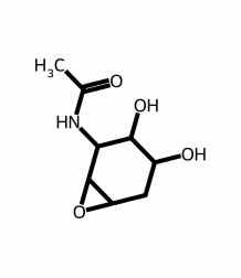 CC(=O)NC1C(O)C(O)CC2OC21